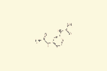 NC(=O)Nc1ccnc(NC(N)=O)c1